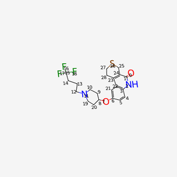 O=c1[nH]c2ccc(OC3CCN(CCCC(F)(F)F)CC3)cc2c2c1CSCC2